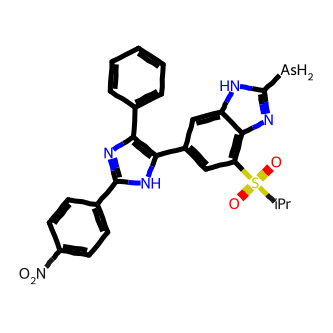 CC(C)S(=O)(=O)c1cc(-c2[nH]c(-c3ccc([N+](=O)[O-])cc3)nc2-c2ccccc2)cc2[nH]c([AsH2])nc12